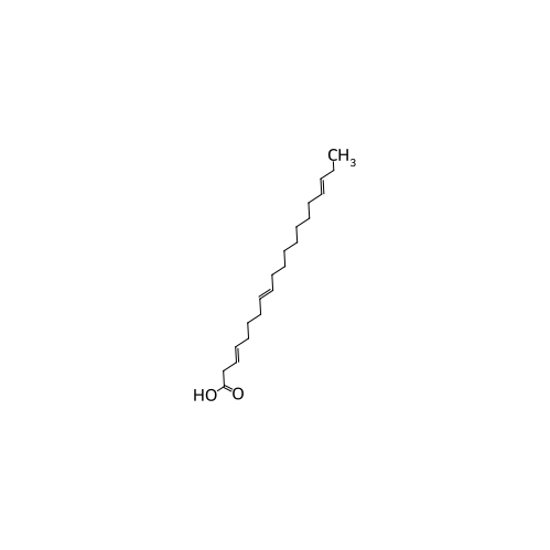 CCC=CCCCCCCCC=CCCCC=CCC(=O)O